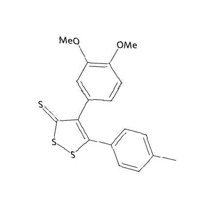 COc1ccc(-c2c(-c3ccc(C)cc3)ssc2=S)cc1OC